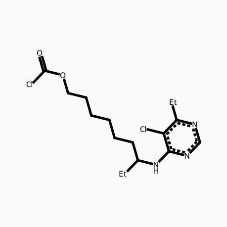 CCc1ncnc(NC(CC)CCCCCCOC(=O)Cl)c1Cl